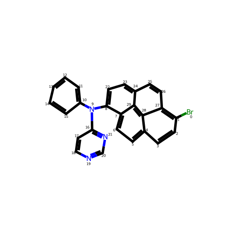 Brc1ccc2ccc3c(N(c4ccccc4)c4ccncn4)ccc4ccc1c2c43